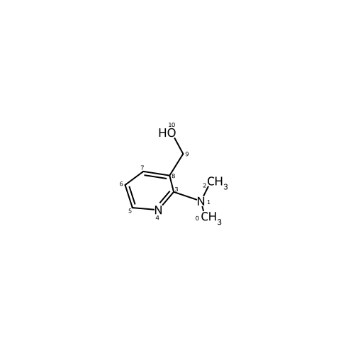 CN(C)c1ncccc1CO